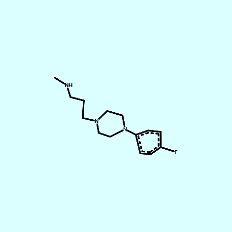 CNCCCN1CCN(c2ccc(F)cc2)CC1